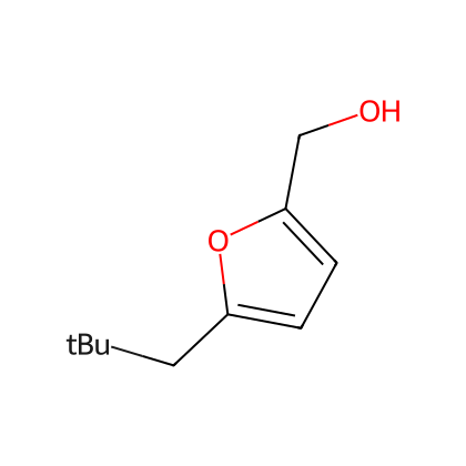 CC(C)(C)Cc1ccc(CO)o1